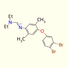 CCN(/C=N/c1cc(C)c(Oc2ccc(Br)c(Br)c2)cc1C)CC